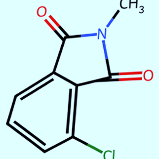 CN1C(=O)c2cccc(Cl)c2C1=O